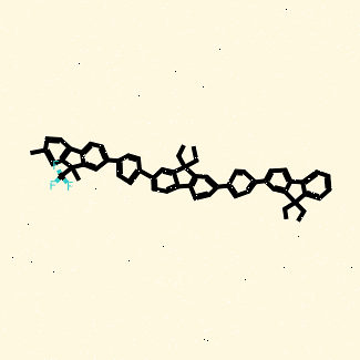 CCC1(CC)c2ccccc2-c2ccc(-c3ccc(-c4ccc5c(c4)C(CC)(CC)c4cc(-c6ccc(-c7ccc8c(c7)C(C)(C(F)(F)F)c7cc(C)ccc7-8)cc6)ccc4-5)cc3)cc21